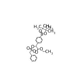 CCOC(=O)C(OS(=O)(=O)Cc1ccccc1)c1ccc(B2OC(C)(C)C(C)(C)O2)cc1